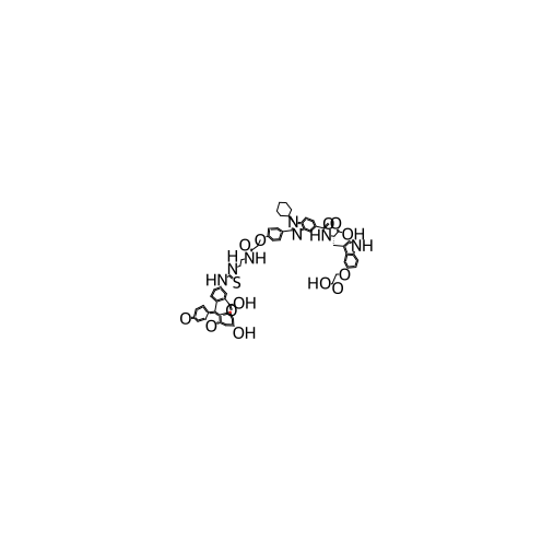 O=C(O)COc1ccc2[nH]cc(C[C@H](NC(=O)c3ccc4c(c3)nc(-c3ccc(OCC(=O)NCCNC(=S)Nc5ccc(-c6c7ccc(=O)cc-7oc7cc(O)ccc67)c(C(=O)O)c5)cc3)n4C3CCCCC3)C(=O)O)c2c1